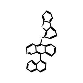 c1ccc2c(-c3c4ccccc4c(Sc4cccc5c4sc4ccccc45)c4ccncc34)cccc2c1